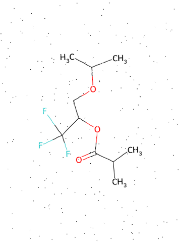 CC(C)OCC(OC(=O)C(C)C)C(F)(F)F